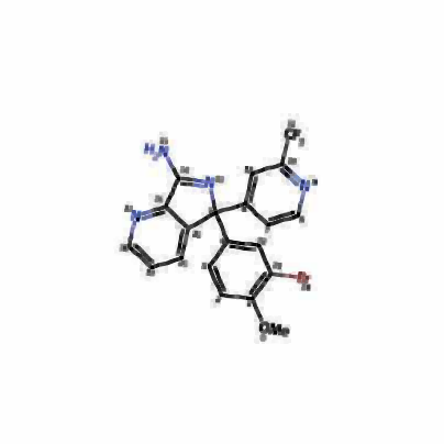 COc1ccc(C2(c3ccnc(C(F)(F)F)c3)N=C(N)c3ncccc32)cc1Br